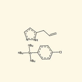 C=CCc1ccn[nH]1.CCC[CH2][Sn]([CH2]CCC)([CH2]CCC)[c]1ccc(Cl)cc1